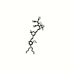 CCCCN(CCCC)c1ccc(/C=C/C2=CC(=C/C=C/C3=C(C#N)C(=C(C#N)C#N)OC3(C)C(F)(F)F)/CC(C)(C)C2)c(OC)c1